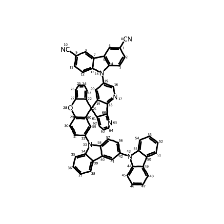 N#Cc1ccc2c(c1)c1cc(C#N)ccc1n2-c1cnc2c(c1)C1(c3ccccc3Oc3ccc(-n4c5ccccc5c5cc(-n6c7ccccc7c7ccccc76)ccc54)cc31)c1cccnc1-2